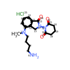 CN(CCCCN)c1cccc2c1CN(N1C(=O)CCCC1=O)C2=O.Cl